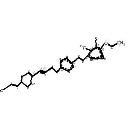 CCCC1CCC(/C=C/CCc2ccc(CCc3ccc(OCC)c(F)c3F)cc2)CC1